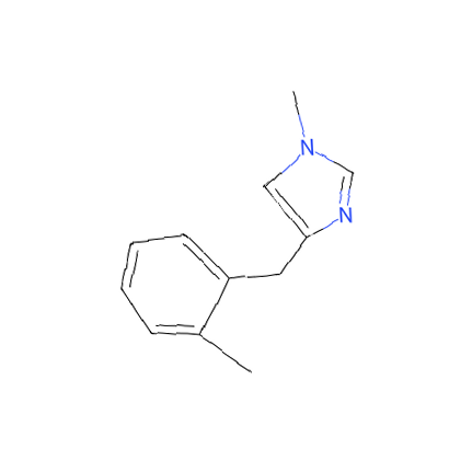 Cc1ccccc1Cc1cn(C)cn1